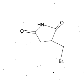 O=C1CC(CBr)C(=O)N1